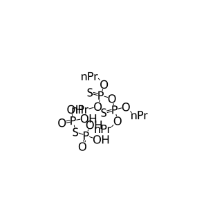 CCCOP(=S)(OCCC)OP(=S)(OCCC)OCCC.O=P(O)(O)SP(=O)(O)O